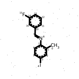 Cc1cc(I)ccc1N=Cc1cccc(F)c1